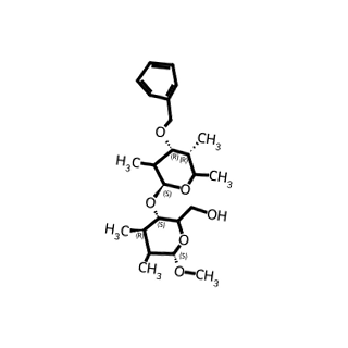 CO[C@H]1OC(CO)[C@@H](O[C@@H]2OC(C)[C@@H](C)[C@@H](OCc3ccccc3)C2C)[C@H](C)C1C